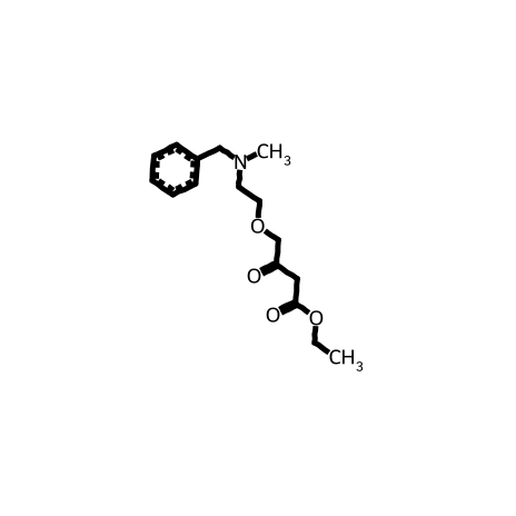 CCOC(=O)CC(=O)COCCN(C)Cc1ccccc1